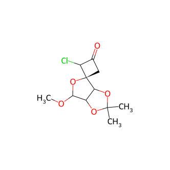 COC1O[C@@]2(CC(=O)C2Cl)C2OC(C)(C)OC12